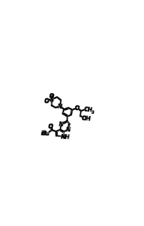 CCC(C)C(=O)c1c[nH]c2ncc(-c3cc(OC(C)CO)cc(N4CCS(=O)(=O)CC4)c3)nc12